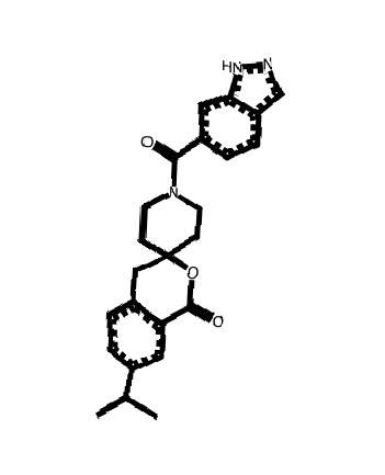 CC(C)c1ccc2c(c1)C(=O)OC1(CCN(C(=O)c3ccc4cn[nH]c4c3)CC1)C2